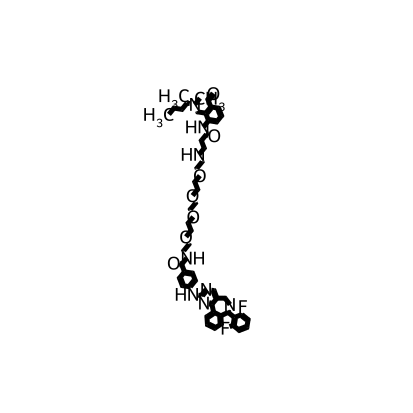 CCCC(C)N(C)Cc1c(C=O)cccc1NC(=O)CCNCCOCCOCCOCCOCCNC(=O)c1ccc(Nc2ncc3c(n2)-c2ccccc2C(c2c(F)cccc2F)=NC3)cc1